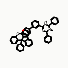 CN1C(c2ccccc2)N=C(c2cccc(-c3cccc(-c4ccccc4C4(C5=CCCC=C5)c5ccccc5Oc5ccccc54)c3)c2)NC1c1ccccc1